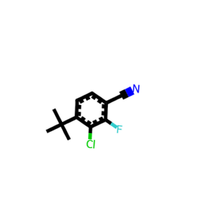 CC(C)(C)c1ccc(C#N)c(F)c1Cl